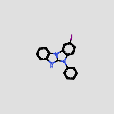 Ic1ccc2c(c1)N1c3ccccc3NC1N2c1ccccc1